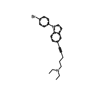 CCN(CC)CCCC#Cc1ccc2c(ccn2-c2ccc(Br)cc2)c1